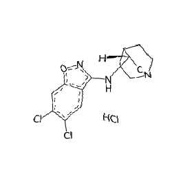 Cl.Clc1cc2onc(N[C@H]3CN4CCC3CC4)c2cc1Cl